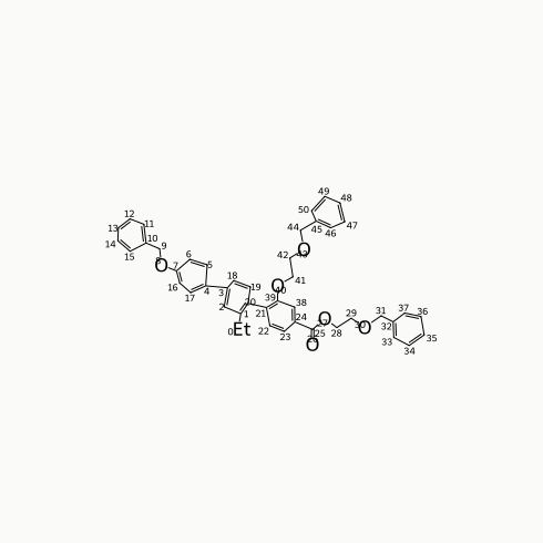 CCc1cc(-c2ccc(OCc3ccccc3)cc2)ccc1-c1ccc(C(=O)OCCOCc2ccccc2)cc1OCCOCc1ccccc1